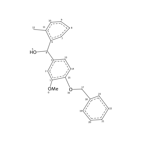 COc1cc(C(O)c2ccccc2C)ccc1OCc1ccccc1